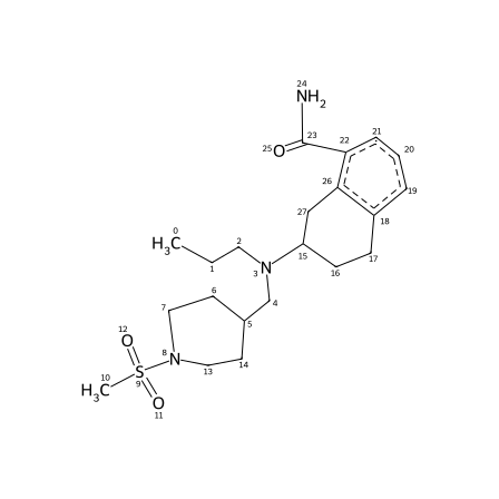 CCCN(CC1CCN(S(C)(=O)=O)CC1)C1CCc2cc[c]c(C(N)=O)c2C1